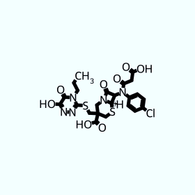 CCCn1c(SCC2(C(=O)O)CS[C@@H]3C(N(C(=O)CC(=O)O)c4ccc(Cl)cc4)C(=O)N3C2)nnc(O)c1=O